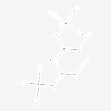 FCC(CC(F)(F)F)SC(CF)CC(F)(F)F